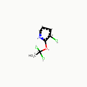 O=C(O)C(Cl)(Cl)Oc1ncccc1Cl